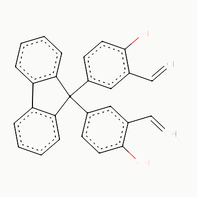 C=Cc1cc(C2(c3ccc(O)c(C=C)c3)c3ccccc3-c3ccccc32)ccc1O